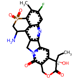 CC[C@@]1(O)C(=O)OCc2c1cc1n(c2=O)Cc2c-1nc1cc(F)c(C)c3c1c2C(N)CS3(=O)=O